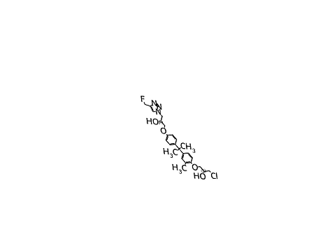 Cc1cc(C(C)(C)c2ccc(OC[C@H](O)Cn3cc(CF)nn3)cc2)ccc1OC[C@H](O)CCl